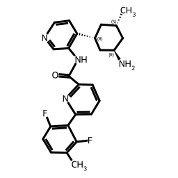 Cc1ccc(F)c(-c2cccc(C(=O)Nc3cnccc3[C@@H]3C[C@H](C)C[C@@H](N)C3)n2)c1F